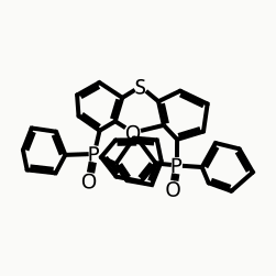 O=P(c1ccccc1)(c1ccccc1)c1cccc2c1Oc1c(cccc1P(=O)(c1ccccc1)c1ccccc1)S2